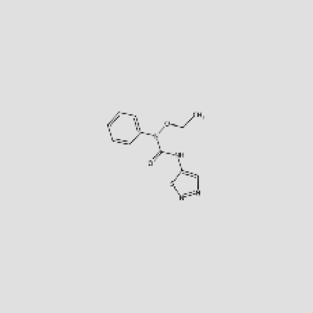 CCON(C(=O)Nc1cnns1)c1ccccc1